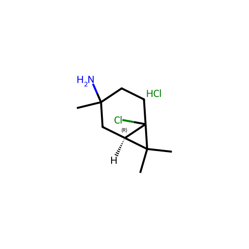 CC1(N)CCC2(Cl)[C@H](C1)C2(C)C.Cl